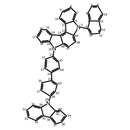 c1ccc2c(-n3c4ccccc4c4c5c6ccccc6n(-c6ccc(-c7ccc(-n8c9ccccc9c9ccccc98)cc7)cc6)c5ccc43)cccc2c1